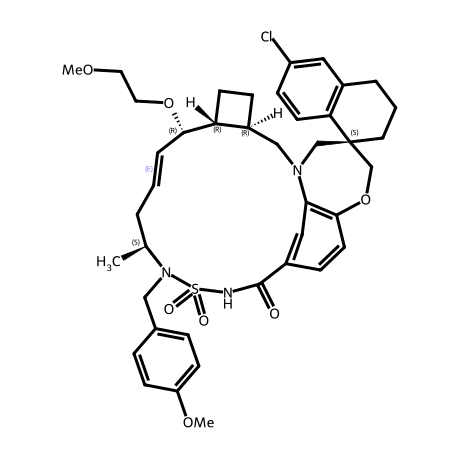 COCCO[C@H]1/C=C/C[C@H](C)N(Cc2ccc(OC)cc2)S(=O)(=O)NC(=O)c2ccc3c(c2)N(C[C@@H]2CC[C@H]21)C[C@@]1(CCCc2cc(Cl)ccc21)CO3